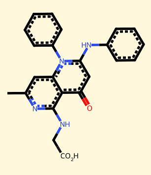 Cc1cc2c(c(NCC(=O)O)n1)c(=O)cc(Nc1ccccc1)n2-c1ccccc1